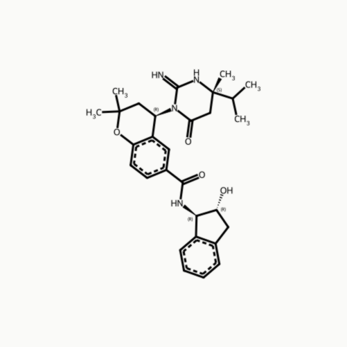 CC(C)[C@]1(C)CC(=O)N([C@@H]2CC(C)(C)Oc3ccc(C(=O)N[C@@H]4c5ccccc5C[C@H]4O)cc32)C(=N)N1